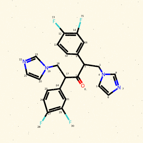 O=C(C(Cn1ccnc1)c1ccc(F)c(F)c1)C(Cn1ccnc1)c1ccc(F)c(F)c1